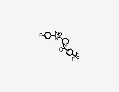 O=C(c1ccc(C(F)(F)F)cc1)N1CCC[C@H](c2nc(C3C=CC(F)=CC3)no2)C1